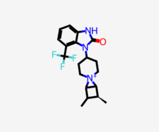 CC1C2C([C@H]1C)[N+]21CCC(n2c(=O)[nH]c3cccc(C(F)(F)F)c32)CC1